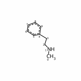 CN[CH]Cc1ccccc1